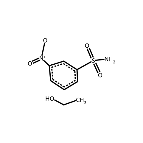 CCO.NS(=O)(=O)c1cccc([N+](=O)[O-])c1